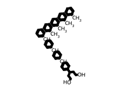 Cc1ccccc1.Cc1ccccc1.Cc1ccccc1.Cc1ccccc1.Cc1ccccc1.Cc1ccccc1.Cc1ccccc1.OCCC(CCO)c1ccccc1